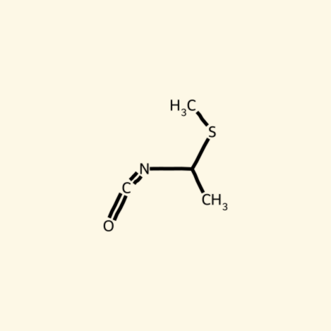 CSC(C)N=C=O